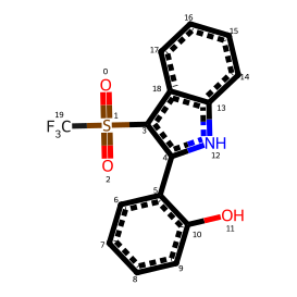 O=S(=O)(c1c(-c2ccccc2O)[nH]c2ccccc12)C(F)(F)F